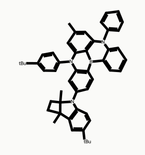 Cc1cc2c3c(c1)N(c1ccc(C(C)(C)C)cc1)c1cc(N4c5ccc(C(C)(C)C)cc5C5(C)CCC45C)ccc1B3c1ccccc1N2c1ccccc1